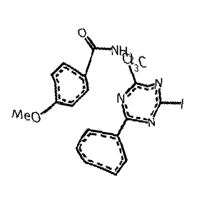 COc1ccc(C(N)=O)cc1.ClC(Cl)(Cl)c1nc(I)nc(-c2ccccc2)n1